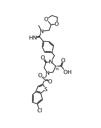 CN(CC1OCCO1)C(=N)c1ccc(CN2C(=O)CN(S(=O)(=O)c3cc4ccc(Cl)cc4s3)C[C@@H]2C(=O)O)cc1